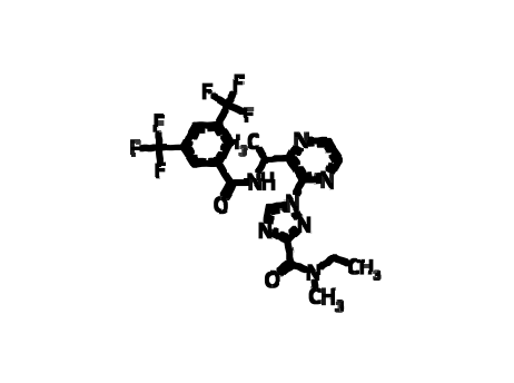 CCN(C)C(=O)c1ncn(-c2nccnc2C(C)NC(=O)c2cc(C(F)(F)F)cc(C(F)(F)F)c2)n1